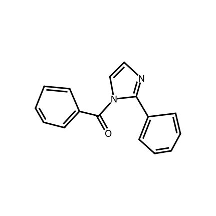 O=C(c1ccccc1)n1ccnc1-c1ccccc1